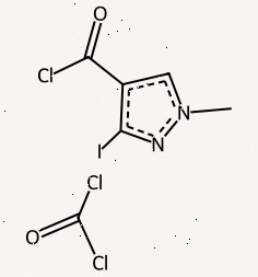 Cn1cc(C(=O)Cl)c(I)n1.O=C(Cl)Cl